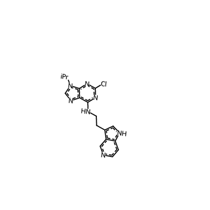 CC(C)n1cnc2c(NCCc3c[nH]c4ccncc34)nc(Cl)nc21